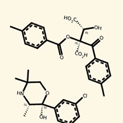 C[C@@H]1NC(C)(C)CO[C@@]1(O)c1cccc(Cl)c1.Cc1ccc(C(=O)O[C@](C(=O)O)(C(=O)c2ccc(C)cc2)[C@@H](O)C(=O)O)cc1